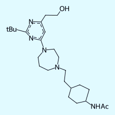 CC(=O)NC1CCC(CCN2CCCN(c3cc(CCO)nc(C(C)(C)C)n3)CC2)CC1